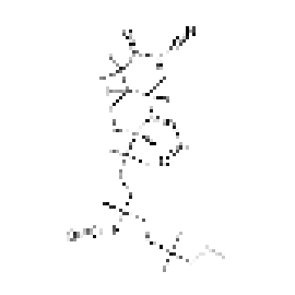 CCCC(C)(C)CC[C@@](C)(CCC(C)(C)[C@]1(C)CC[C@H]2C(C)(C)C(=O)C(C#N)=C[C@]2(C)/C1=C/C(C)=O)N=C=O